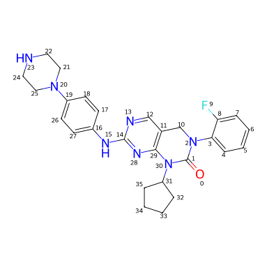 O=C1N(c2ccccc2F)Cc2cnc(Nc3ccc(N4CCNCC4)cc3)nc2N1C1CCCC1